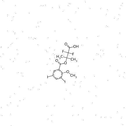 COc1c(I)cc(I)cc1C(=O)OC(C)(C)C(F)(F)C(=O)O